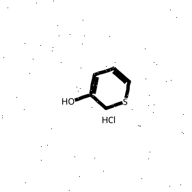 Cl.OC1=CC=CSC1